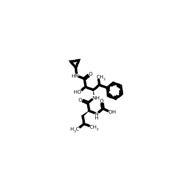 CC(C)C[C@H](NC(=O)O)C(=O)N[C@H](C(O)C(=O)NC1CC1)C(C)c1ccccc1